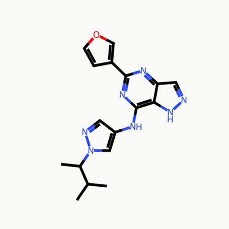 CC(C)C(C)n1cc(Nc2nc(-c3ccoc3)nc3cn[nH]c23)cn1